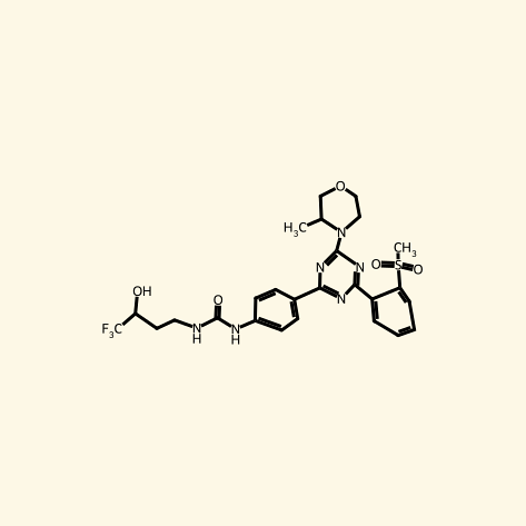 CC1COCCN1c1nc(-c2ccc(NC(=O)NCCC(O)C(F)(F)F)cc2)nc(-c2ccccc2S(C)(=O)=O)n1